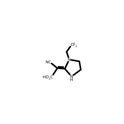 N#CC(C(=O)O)=C1NCCN1CC(F)(F)F